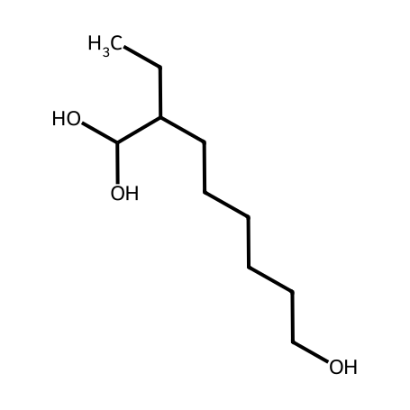 CCC(CCCCCCO)C(O)O